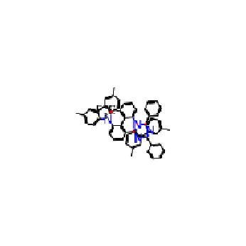 Cc1ccc2c(c1)c1cc(C)ccc1n2-c1cccc(-c2nc(-c3ccccc3)nc(-c3ccccc3)n2)c1-c1c(-n2c3ccc(C)cc3c3cc(C)ccc32)cccc1C(F)(F)F